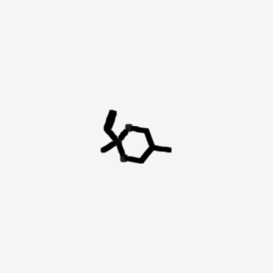 C=C[Si]1(C)OCC(C)CO1